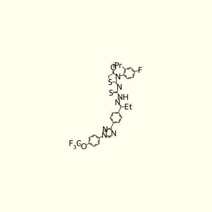 CC/C(=N\NC(=S)/N=C1\SCC(=O)N1c1ccc(F)cc1C(C)C)c1ccc(-c2ncn(-c3ccc(OC(F)(F)F)cc3)n2)cc1